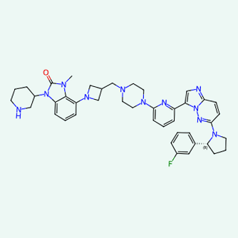 Cn1c(=O)n(C2CCCNC2)c2cccc(N3CC(CN4CCN(c5cccc(-c6cnc7ccc(N8CCC[C@@H]8c8cccc(F)c8)nn67)n5)CC4)C3)c21